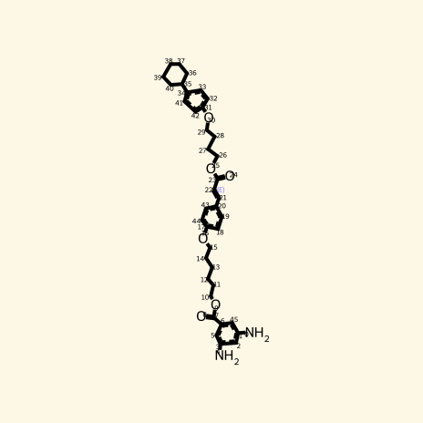 Nc1cc(N)cc(C(=O)OCCCCCCOc2ccc(/C=C/C(=O)OCCCCOc3ccc(C4CCCCC4)cc3)cc2)c1